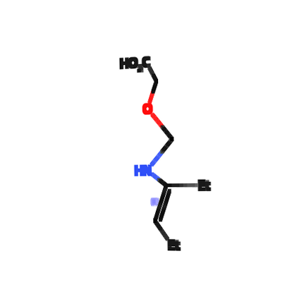 CC/C=C(\CC)NCOCC(=O)O